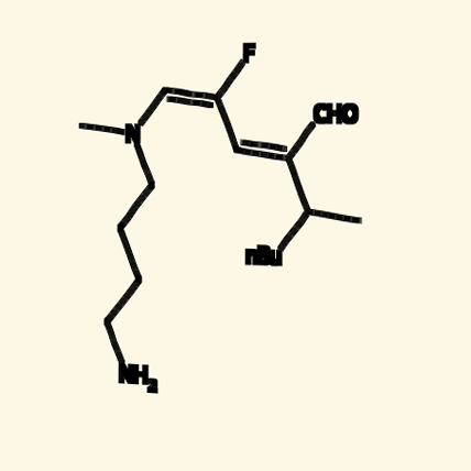 CCCCC(C)/C(C=O)=C/C(F)=C\N(C)CCCCN